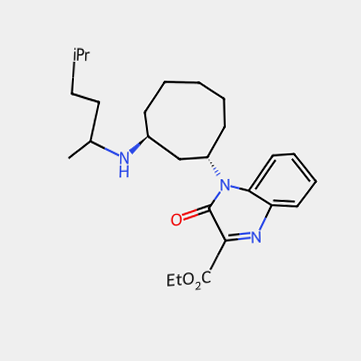 CCOC(=O)c1nc2ccccc2n([C@H]2CCCCC[C@H](NC(C)CCC(C)C)C2)c1=O